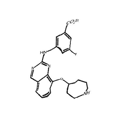 CCOC(=O)c1cc(F)cc(Nc2ncc3cccc(OC4CCNCC4)c3n2)c1